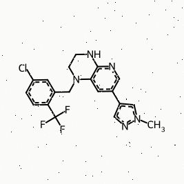 Cn1cc(-c2cnc3c(c2)N(Cc2cc(Cl)ccc2C(F)(F)F)CCN3)cn1